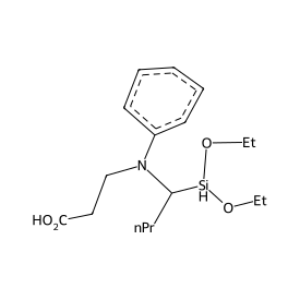 CCCC(N(CCC(=O)O)c1ccccc1)[SiH](OCC)OCC